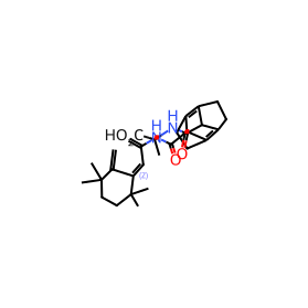 C=C(/C=C1\C(=C)C(C)(C)CCC1(C)C)NC(=O)C1C2=C3CCC(=C1CC2)C3C(=O)NC(C)C(=O)O